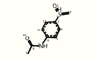 C=[SH](=O)c1ccc(NC(C)=O)cc1